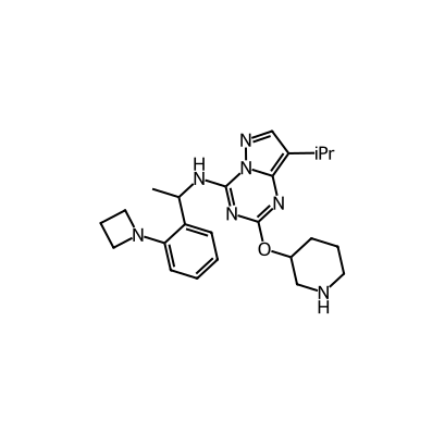 CC(C)c1cnn2c(NC(C)c3ccccc3N3CCC3)nc(OC3CCCNC3)nc12